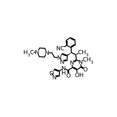 C[C@@H](c1nc(C(=O)Nc2cnoc2)c(O)c(=O)n1C)[C@@H](c1cnn(CCN2CCN(C)CC2)c1)c1ccccc1C#N